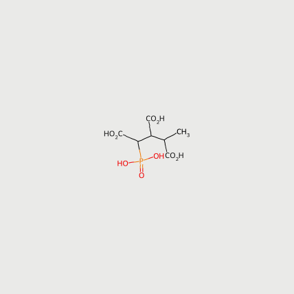 CC(C(=O)O)C(C(=O)O)C(C(=O)O)P(=O)(O)O